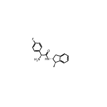 C[C@@H]1c2ccccc2C[C@H]1NC(=O)[C@@H](N)c1ccc(F)cc1